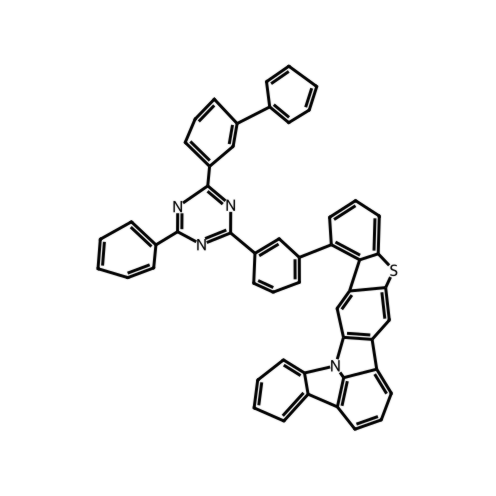 c1ccc(-c2cccc(-c3nc(-c4ccccc4)nc(-c4cccc(-c5cccc6sc7cc8c9cccc%10c%11ccccc%11n(c8cc7c56)c%109)c4)n3)c2)cc1